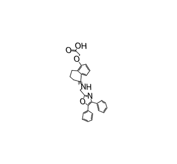 O=C(O)COc1cccc2c1CCC[C@H]2NCc1nc(-c2ccccc2)c(-c2ccccc2)o1